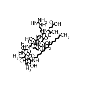 CCCCCCCCCCCCCCCC(=O)N[C@H](C(=O)N[C@H](C(=O)N[C@@H](C)C(=O)N[C@@H](CCCNC(=N)N)C(=O)N[C@@H](CO)C(=O)N[C@@H](CO)C(=O)N[C@@H](CCCNC(=N)N)C(=O)N[C@@H](CCC(=O)O)C(C)=O)C(C)C)[C@@H](C)O